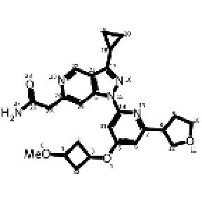 COC1CC(Oc2cc(C3CCOC3)nc(-n3nc(C4CC4)c4cnc(CC(N)=O)cc43)c2)C1